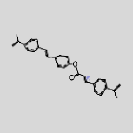 C=C(C)c1ccc(C=Cc2ccc(OC(=O)/C=C/c3ccc(C(=C)C)cc3)cc2)cc1